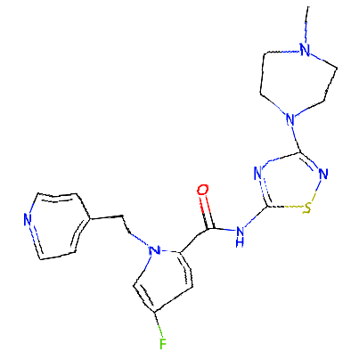 CN1CCN(c2nsc(NC(=O)c3cc(F)cn3Cc3ccncc3)n2)CC1